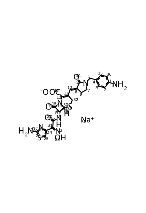 Nc1ccc(CN2CCC(=CC3=C(C(=O)[O-])N4C(=O)[C@@H](NC(=O)C(=NO)c5csc(N)n5)[C@H]4SC3)C2=O)cc1.[Na+]